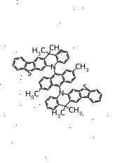 Cc1ccc2c(N3c4ccccc4C(C)(C)c4cc5c(cc43)sc3ccccc35)c3cc(C)ccc3c(N3c4ccccc4C(C)(C)c4cc5c(cc43)sc3ccccc35)c2c1